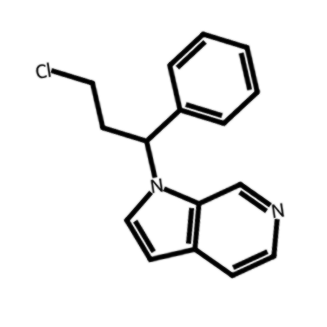 ClCCC(c1ccccc1)n1ccc2ccncc21